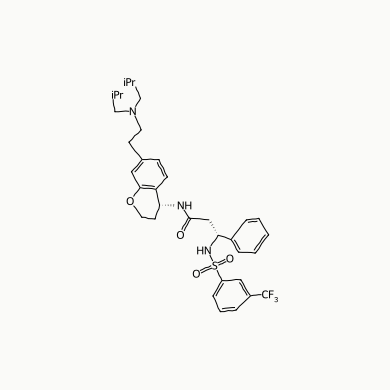 CC(C)CN(CCc1ccc2c(c1)OCC[C@H]2NC(=O)C[C@@H](NS(=O)(=O)c1cccc(C(F)(F)F)c1)c1ccccc1)CC(C)C